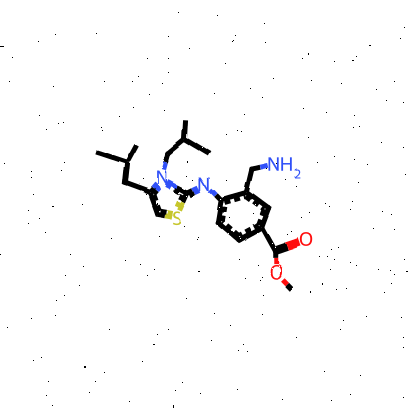 COC(=O)c1ccc(N=c2scc(CC(C)C)n2CC(C)C)c(CN)c1